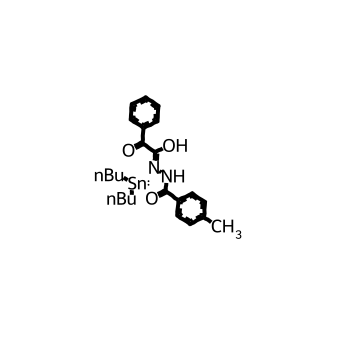 CCC[CH2][Sn][CH2]CCC.Cc1ccc(C(=O)NN=C(O)C(=O)c2ccccc2)cc1